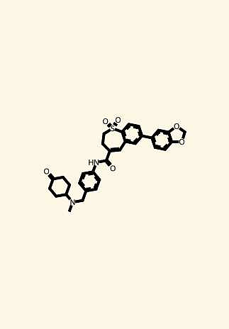 CN(Cc1ccc(NC(=O)C2=Cc3cc(-c4ccc5c(c4)OCO5)ccc3S(=O)(=O)CC2)cc1)C1CCC(=O)CC1